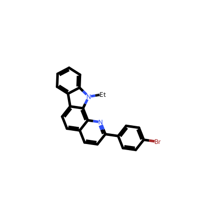 CCn1c2ccccc2c2ccc3ccc(-c4ccc(Br)cc4)nc3c21